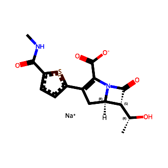 CNC(=O)c1ccc(C2=C(C(=O)[O-])N3C(=O)[C@H]([C@@H](C)O)[C@H]3C2)s1.[Na+]